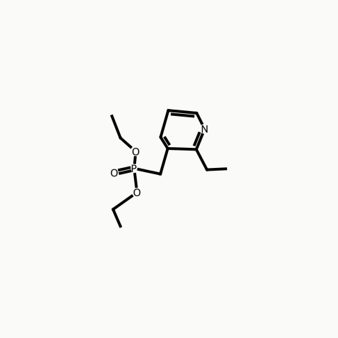 CCOP(=O)(Cc1cccnc1CC)OCC